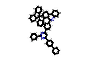 c1ccc(-c2ccc(-c3cc(-c4ccc(-c5nc6ccccc6c6ccc7c(c56)-c5ccccc5C75c6ccccc6-c6ccccc65)cc4)nc(-c4ccccc4)n3)cc2)cc1